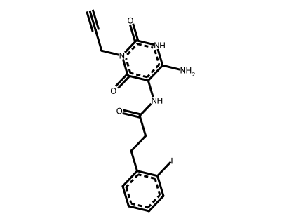 C#CCn1c(=O)[nH]c(N)c(NC(=O)CCc2ccccc2I)c1=O